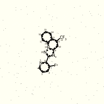 Fc1cccnc1-c1nc2cc(C(F)(F)F)c3ccccc3n2n1